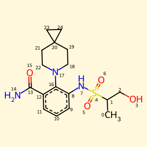 CC(CO)S(=O)(=O)Nc1cccc(C(N)=O)c1N1CCC2(CC1)CC2